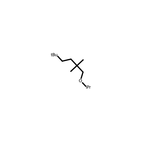 CC(C)OCC(C)(C)CCC(C)(C)C